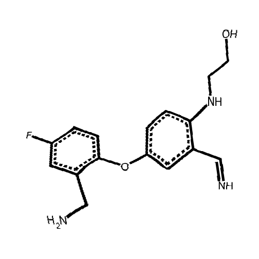 N=Cc1cc(Oc2ccc(F)cc2CN)ccc1NCCO